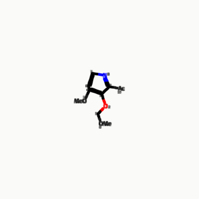 COCOc1c(OC)ccnc1C(C)=O